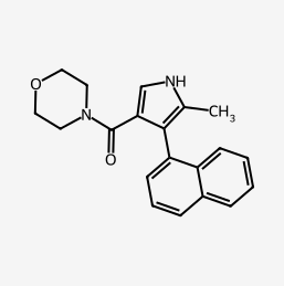 Cc1[nH]cc(C(=O)N2CCOCC2)c1-c1cccc2ccccc12